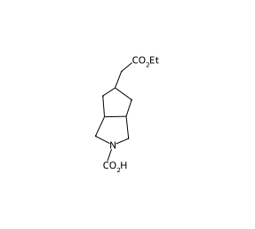 CCOC(=O)CC1CC2CN(C(=O)O)CC2C1